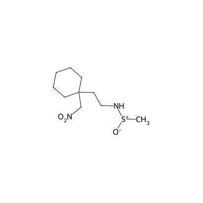 C[S+]([O-])NCCC1(C[N+](=O)[O-])CCCCC1